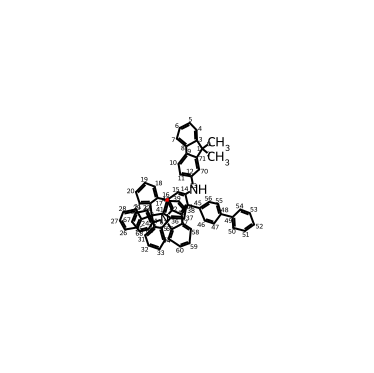 CC1(C)c2ccccc2-c2ccc(Nc3cc(-c4ccccc4C4(c5ccccc5)c5ccccc5-c5ccccc54)c4c(c3-c3ccc(-c5ccccc5)cc3)c3ccccc3n4-c3ccccc3)cc21